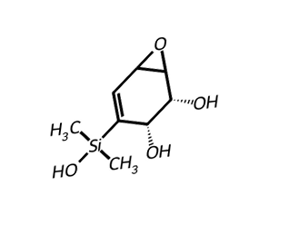 C[Si](C)(O)C1=CC2OC2[C@H](O)[C@@H]1O